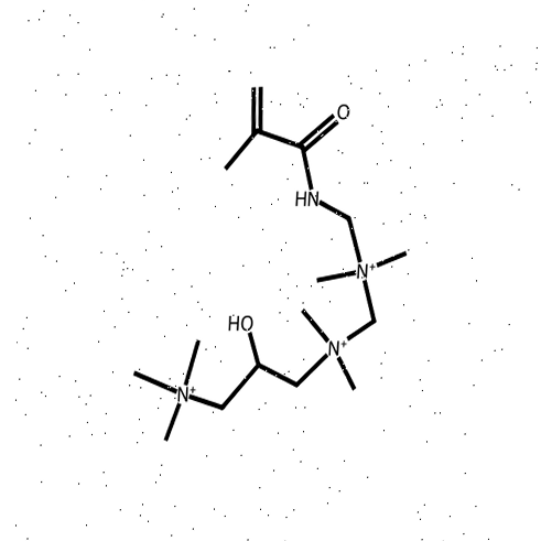 C=C(C)C(=O)NC[N+](C)(C)C[N+](C)(C)CC(O)C[N+](C)(C)C